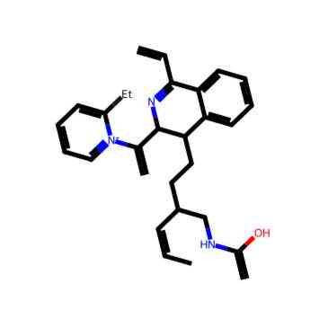 C=CC1=NC(C(=C)[n+]2ccccc2CC)C(CCC(/C=C\C)CNC(=C)O)c2ccccc21